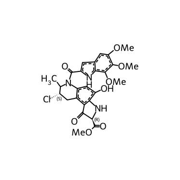 COC(=O)[C@@H]1Nc2c(O)cc3c(c2C1=O)C[C@H](Cl)C(C)N3C(=O)c1cc2cc(OC)c(OC)c(OC)c2[nH]1